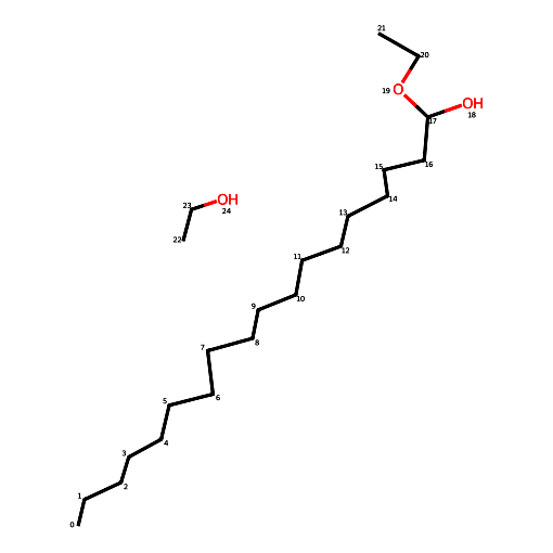 CCCCCCCCCCCCCCCCCC(O)OCC.CCO